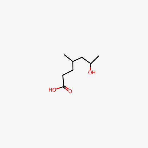 CC(O)CC(C)CCC(=O)O